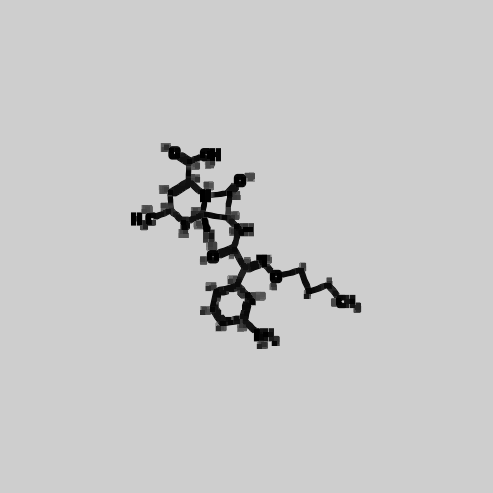 CCCCON=C(C(=O)NC1C(=O)N2C(C(=O)O)=CC(C)S[C@@H]12)c1cccc(N)n1